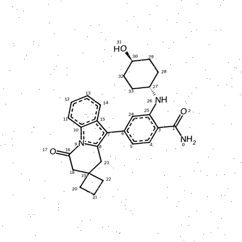 NC(=O)c1ccc(-c2c3n(c4ccccc24)C(=O)CC2(CCC2)C3)cc1N[C@H]1CC[C@H](O)CC1